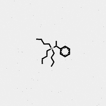 CCCC[N+](CCCC)(CCCC)C(C)c1ccccc1